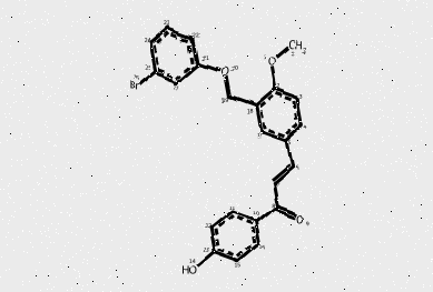 COc1ccc(/C=C/C(=O)c2ccc(O)cc2)cc1COc1cccc(Br)c1